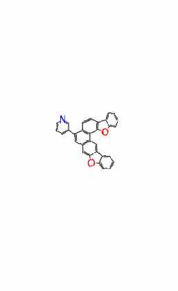 c1cncc(-c2cc3cc4oc5ccccc5c4cc3c3c2ccc2c4ccccc4oc23)c1